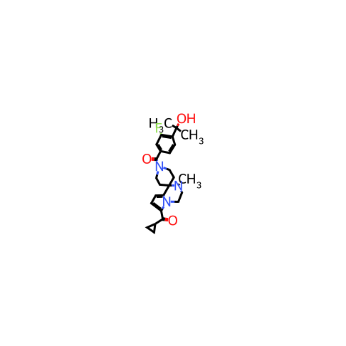 CN1CCn2c(C(=O)C3CC3)ccc2C12CCN(C(=O)c1ccc(C(C)(C)O)c(F)c1)CC2